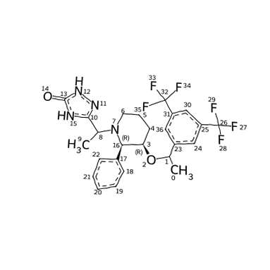 CC(O[C@@H]1CCCN(C(C)c2n[nH]c(=O)[nH]2)[C@@H]1c1ccccc1)c1cc(C(F)(F)F)cc(C(F)(F)F)c1